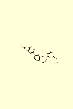 Cc1nc(CN(C)C)nc(N2CCOc3ccc(-c4cnc5sc(N)nc5c4)cc3C2)c1Br